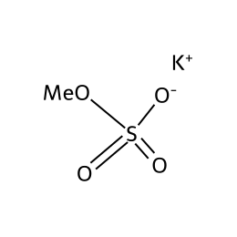 COS(=O)(=O)[O-].[K+]